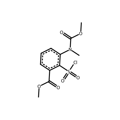 COC(=O)c1cccc(N(C)C(=O)OC)c1S(=O)(=O)Cl